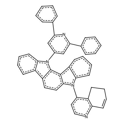 C1=Cc2nccc(-n3c4ccccc4c4c3ccc3c5ccccc5n(-c5cc(-c6ccccc6)nc(-c6ccccc6)c5)c34)c2CC1